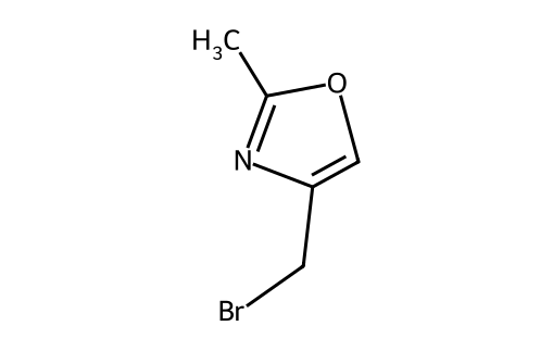 Cc1nc(CBr)co1